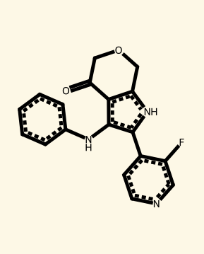 O=C1COCc2[nH]c(-c3ccncc3F)c(Nc3ccccc3)c21